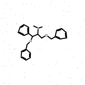 CN(C)C(COCc1ccccc1)C(OCc1ccccc1)c1ccccc1